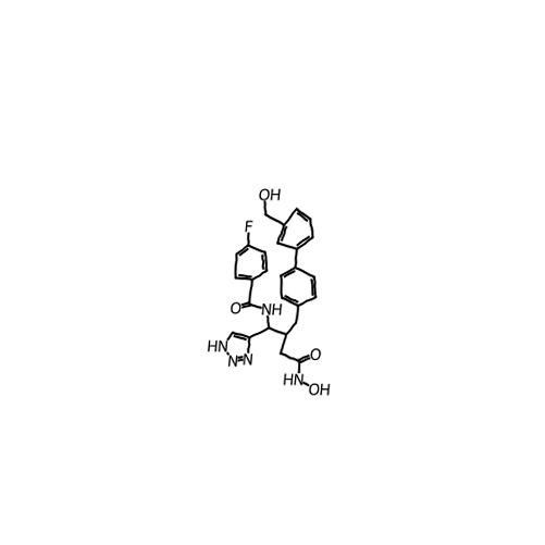 O=C(CC(Cc1ccc(-c2cccc(CO)c2)cc1)C(NC(=O)c1ccc(F)cc1)c1c[nH]nn1)NO